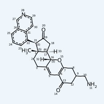 C[C@]12CCC3=CC4=C(CC(CN)CC4=O)O[C@H]3[C@@H]1CC(=O)[C@@H]2c1cccc2cnccc12